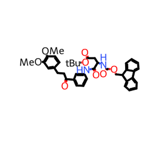 COc1ccc(CCC(=O)c2cccc(NC(=O)C(CC(=O)OC(C)(C)C)NC(=O)OCC3c4ccccc4-c4ccccc43)c2)cc1OC